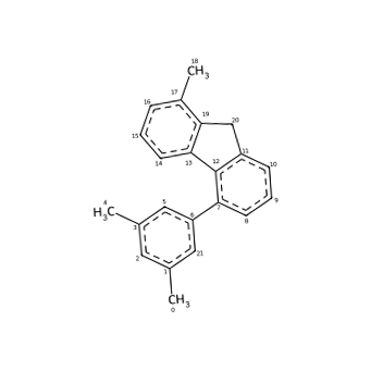 Cc1cc(C)cc(-c2cccc3c2-c2cccc(C)c2C3)c1